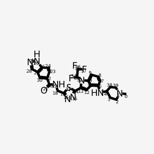 CN1CCC(Nc2cccc3c2cc(-c2nnc(CNC(=O)c4ccc5[nH]ncc5c4)s2)n3C(F)C(F)F)CC1